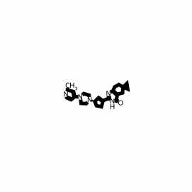 Cc1cc(N2CCN([C@H]3C=C(c4nc5c(c(=O)[nH]4)CC4(CC5)CC4)CC3)CC2)ccn1